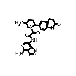 CC1CCC(c2ccc3c(c2)CCC(=O)N3)N(C(=O)C(=O)Nc2cnc(N)c3cn[nH]c23)C1